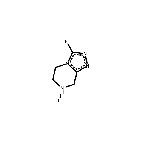 [CH2-][NH+]1CCn2c(F)nnc2C1